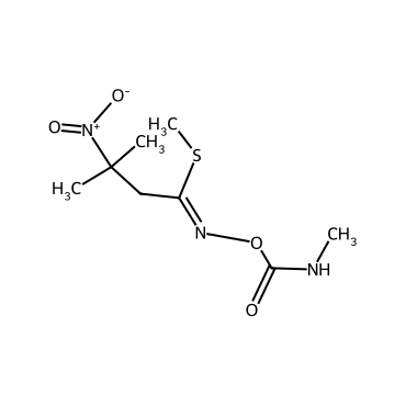 CNC(=O)ON=C(CC(C)(C)[N+](=O)[O-])SC